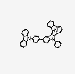 c1ccc(-n2c3ccc(-c4ccc(-n5c6ccccc6c6ccccc65)cc4)cc3c3c2c2cccc4c5ccccc5c3n42)cc1